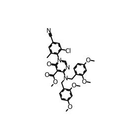 COC(=O)c1c(N(Cc2ccc(OC)cc2OC)Cc2ccc(OC)cc2OC)ncn(-c2c(C)cc(C#N)cc2Cl)c1=O